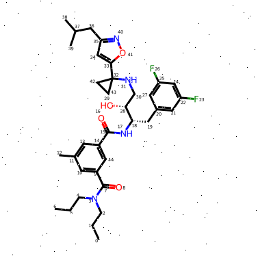 CCCN(CCC)C(=O)c1cc(C)cc(C(=O)N[C@@H](Cc2cc(F)cc(F)c2)[C@H](O)CNC2(c3cc(CC(C)C)no3)CC2)c1